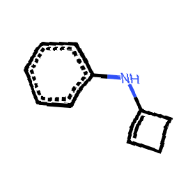 C1=C(Nc2ccccc2)CC1